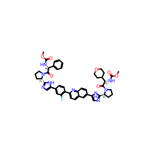 COC(=O)N[C@H](C(=O)N1CCC[C@H]1c1ncc(-c2ccc3nc(-c4ccc(-c5cnc([C@@H]6CCCN6C(=O)[C@H](NC(=O)OC)c6ccccc6)[nH]5)cc4F)ccc3c2)[nH]1)C1CCOCC1